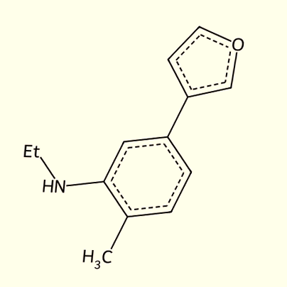 CCNc1cc(-c2ccoc2)ccc1C